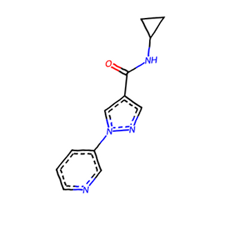 O=C(NC1CC1)c1cnn(-c2cccnc2)c1